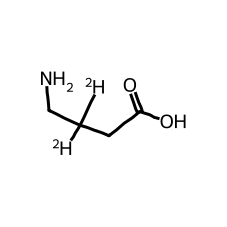 [2H]C([2H])(CN)CC(=O)O